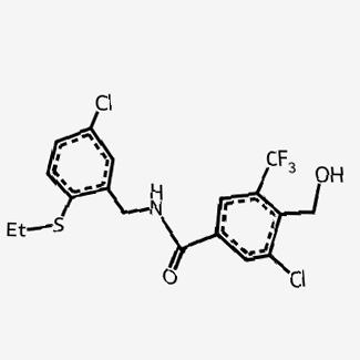 CCSc1ccc(Cl)cc1CNC(=O)c1cc(Cl)c(CO)c(C(F)(F)F)c1